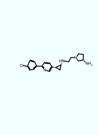 N[C@@H]1CCN(CCN[C@@H]2C[C@H]2c2ccc(-c3ccc(Cl)cc3)nc2)C1